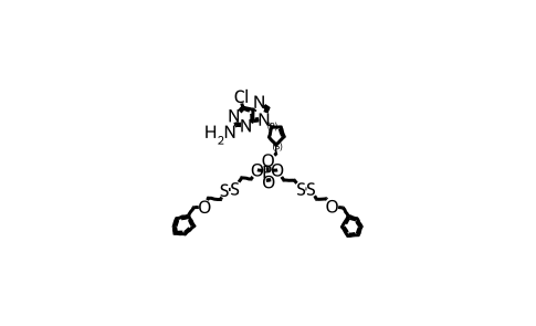 Nc1nc(Cl)c2ncn([C@H]3C=C[C@@H](COP(=O)(OCCSSCCOCc4ccccc4)OCCSSCCOCc4ccccc4)C3)c2n1